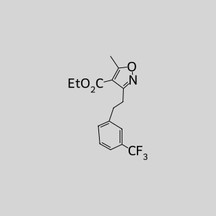 CCOC(=O)c1c(CCc2cccc(C(F)(F)F)c2)noc1C